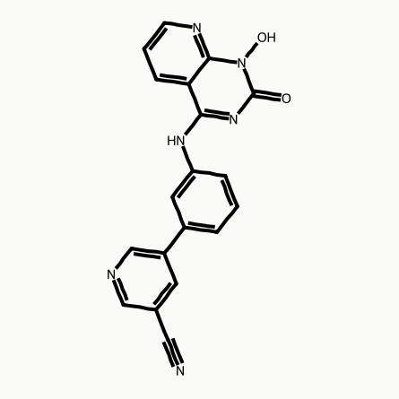 N#Cc1cncc(-c2cccc(Nc3nc(=O)n(O)c4ncccc34)c2)c1